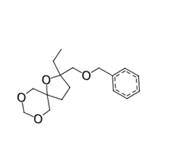 CCC1(COCc2ccccc2)CCC2(COCOC2)O1